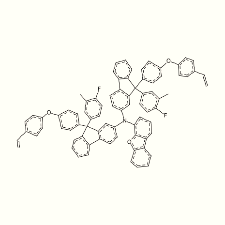 C=Cc1ccc(Oc2ccc(C3(c4ccc(F)c(C)c4)c4ccccc4-c4ccc(N(c5ccc6c(c5)C(c5ccc(Oc7ccc(C=C)cc7)cc5)(c5ccc(F)c(C)c5)c5ccccc5-6)c5cccc6c5oc5ccccc56)cc43)cc2)cc1